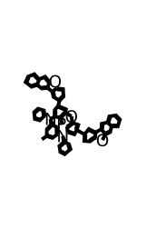 Cc1cc2c3c(c1)N(c1ccccc1)c1cc(-c4ccc5oc6cc7ccccc7cc6c5c4)cc4c1P3c1c(cc(-c3ccc5oc6cc7ccccc7cc6c5c3)cc1N2c1ccccc1)O4